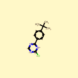 CC(C)(C)c1ccc(-c2ncnc(Cl)n2)cc1